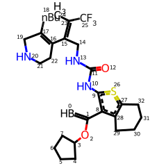 B=C(OC1CCCC1)c1c(NC(=O)NC/C(C2=C(CCCC)CNCC2)=C(/C)C(F)(F)F)sc2c1CCCC2